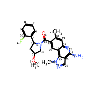 COC1CC(c2ccccc2F)N(C(=O)c2cc3c(cc2C)nc(N)c2cnn(C)c23)C1